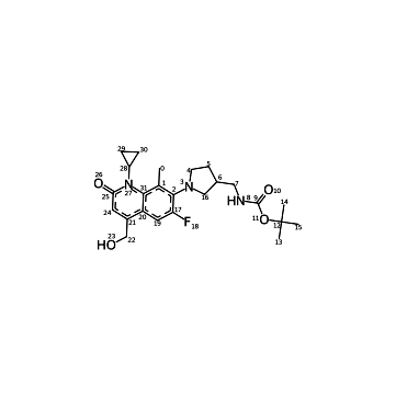 Cc1c(N2CCC(CNC(=O)OC(C)(C)C)C2)c(F)cc2c(CO)cc(=O)n(C3CC3)c12